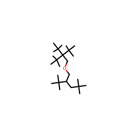 CC(C)(C)CC(COCC(C(C)(C)C)(C(C)(C)C)C(C)(C)C)C(C)(C)C